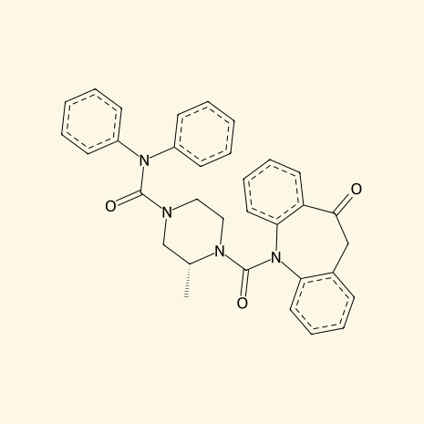 C[C@@H]1CN(C(=O)N(c2ccccc2)c2ccccc2)CCN1C(=O)N1c2ccccc2CC(=O)c2ccccc21